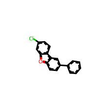 Clc1ccc2c(c1)oc1ccc(-c3ccccc3)cc12